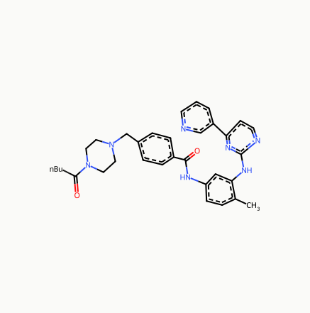 CCCCC(=O)N1CCN(Cc2ccc(C(=O)Nc3ccc(C)c(Nc4nccc(-c5cccnc5)n4)c3)cc2)CC1